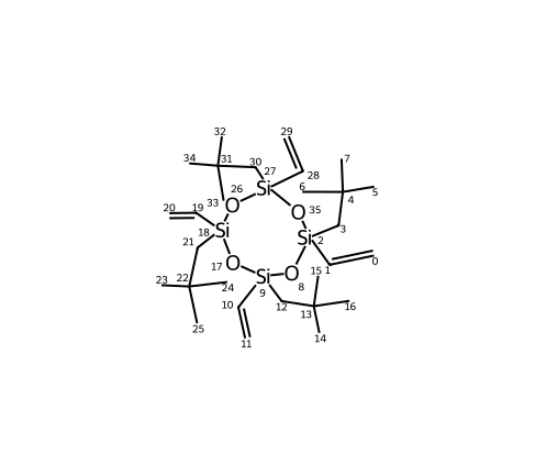 C=C[Si]1(CC(C)(C)C)O[Si](C=C)(CC(C)(C)C)O[Si](C=C)(CC(C)(C)C)O[Si](C=C)(CC(C)(C)C)O1